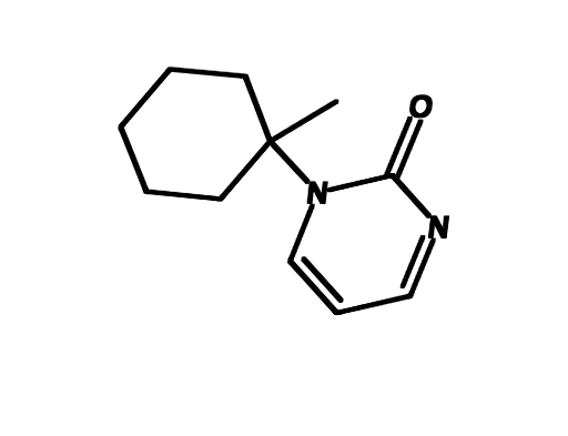 CC1(n2cccnc2=O)CCCCC1